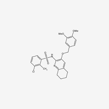 COc1ccc(COc2cc3c(nc2NS(=O)(=O)c2cccc(Cl)c2C)CCCC3)cc1OC